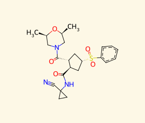 C[C@@H]1CN(C(=O)[C@@H]2C[C@H](S(=O)(=O)c3ccccc3)C[C@H]2C(=O)NC2(C#N)CC2)C[C@H](C)O1